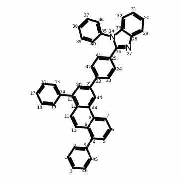 c1ccc(-c2cccc3c2ccc2c(-c4ccccc4)cc(-c4ccc(-c5nc6ccccc6n5-c5ccccc5)cc4)cc23)cc1